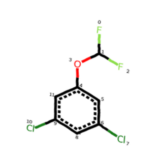 FC(F)Oc1cc(Cl)[c]c(Cl)c1